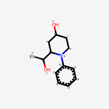 CCC(O)C1CC(O)CCN1c1ccccc1